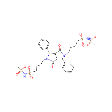 CS(=O)(=O)NS(=O)(=O)CCCCN1C(=O)C2=C(c3ccccc3)N(CCCCS(=O)(=O)NS(C)(=O)=O)C(=O)C2=C1c1ccccc1